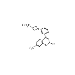 CCC1CN(c2cccc(N3CC(C(=O)O)C3)c2)c2ccc(C(F)(F)F)cc2O1